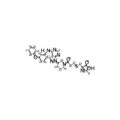 Nc1ncnc2c1c(-c1ccc(Oc3ccccc3)cc1)nn2C1CCCN(C(=O)CCSCC(N)C(=O)O)C1